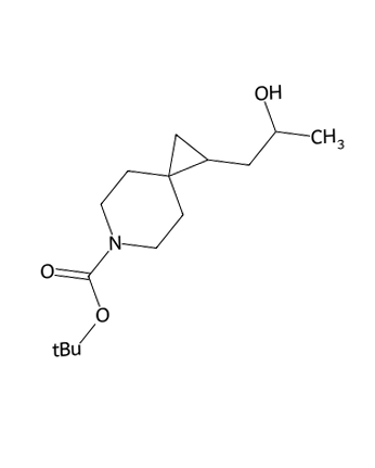 CC(O)CC1CC12CCN(C(=O)OC(C)(C)C)CC2